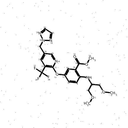 COCC(COC)Nc1ccc(Oc2ncc(Cn3nccn3)cc2C(F)(F)F)cc1C(=O)OC